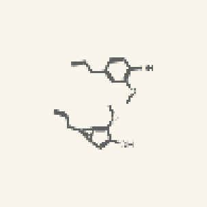 C=CCc1c2cc(O)c(OC)c1-2.C=CCc1ccc(O)c(OC)c1